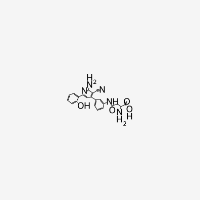 N#Cc1c(-c2cccc(NC(=O)C[C@H](N)C(=O)O)c2)cc(-c2ccccc2O)nc1N